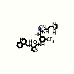 N#C/N=C(\NCCCc1ncc[nH]1)Nc1cc(NC(=O)c2sccc2NCc2ccnc3ccccc23)cc(C(F)(F)F)c1